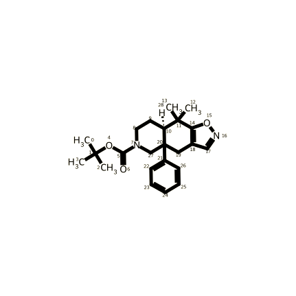 CC(C)(C)OC(=O)N1CC[C@H]2C(C)(C)c3oncc3CC2(c2ccccc2)C1